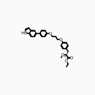 CCOC(=O)[C@H](Cc1ccc(OCCCOc2ccc(-c3ccc4[nH]ccc4c3)cc2)cc1)OC